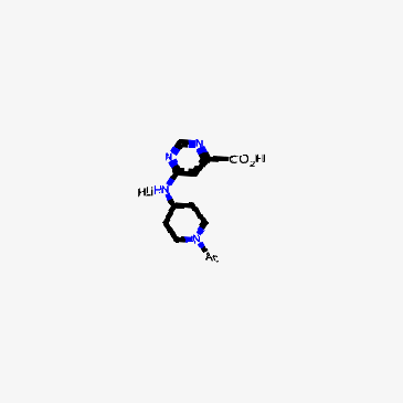 CC(=O)N1CCC(Nc2cc(C(=O)O)ncn2)CC1.[LiH]